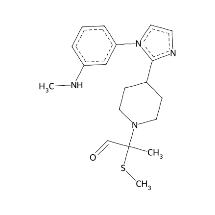 CNc1cccc(-n2ccnc2C2CCN(C(C)(C=O)SC)CC2)c1